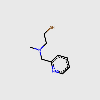 CN(CCS)Cc1ccccn1